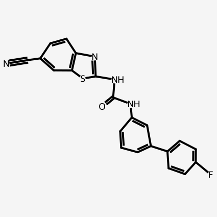 N#Cc1ccc2nc(NC(=O)Nc3cccc(-c4ccc(F)cc4)c3)sc2c1